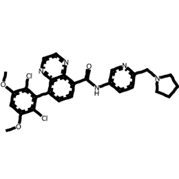 COc1cc(OC)c(Cl)c(-c2ccc(C(=O)Nc3ccc(CN4CCCC4)nc3)c3nccnc23)c1Cl